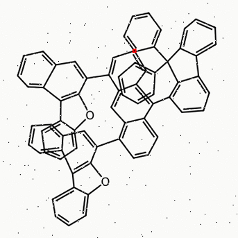 c1ccc(C2(c3ccccc3)c3ccccc3-c3cccc(-c4c5cccc(-c6cc7ccccc7c7c6oc6ccccc67)c5cc5c(-c6cc7ccccc7c7c6oc6ccccc67)cccc45)c32)cc1